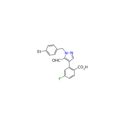 CCc1ccc(Cn2ncc(-c3cc(F)ccc3C(=O)O)c2C=O)cc1